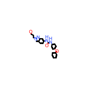 O=CCCn1cc2ccc(NC(=O)Nc3ccc(Oc4ccccc4)cc3)cc2n1